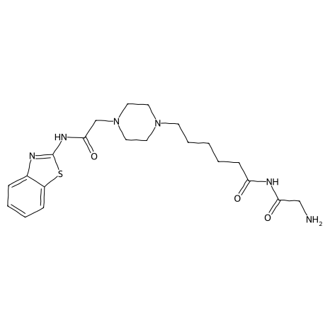 NCC(=O)NC(=O)CCCCCN1CCN(CC(=O)Nc2nc3ccccc3s2)CC1